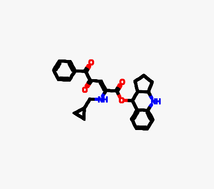 O=C(C=C(NCC1CC1)C(=O)OC1c2ccccc2NC2CCCC21)C(=O)c1ccccc1